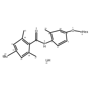 CCCCCCOc1ccc(PC(=O)c2c(C)cc(C(C)(C)C)cc2C)c(C)c1.[LiH]